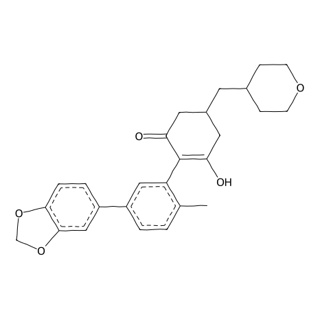 Cc1ccc(-c2ccc3c(c2)OCO3)cc1C1=C(O)CC(CC2CCOCC2)CC1=O